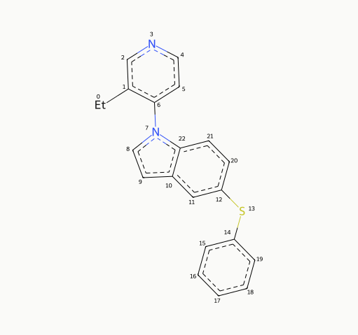 CCc1cnccc1-n1ccc2cc(Sc3ccccc3)ccc21